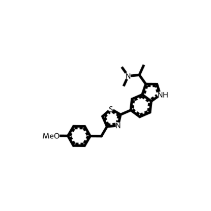 COc1ccc(Cc2csc(-c3ccc4[nH]cc(C(C)N(C)C)c4c3)n2)cc1